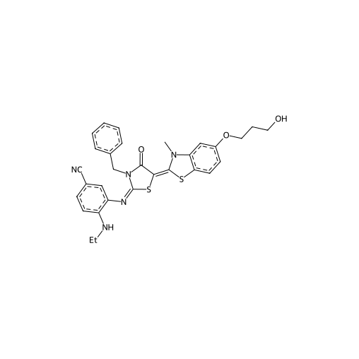 CCNc1ccc(C#N)cc1/N=C1/S/C(=C2\Sc3ccc(OCCCO)cc3N2C)C(=O)N1Cc1ccccc1